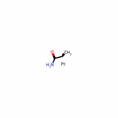 C=CC(N)=O.[Pt]